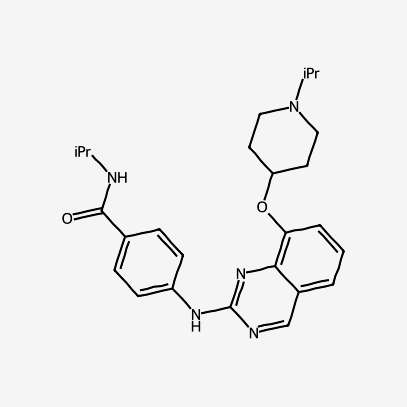 CC(C)NC(=O)c1ccc(Nc2ncc3cccc(OC4CCN(C(C)C)CC4)c3n2)cc1